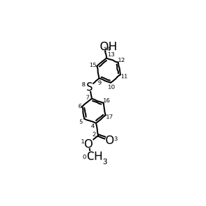 COC(=O)c1ccc(Sc2cccc(O)c2)cc1